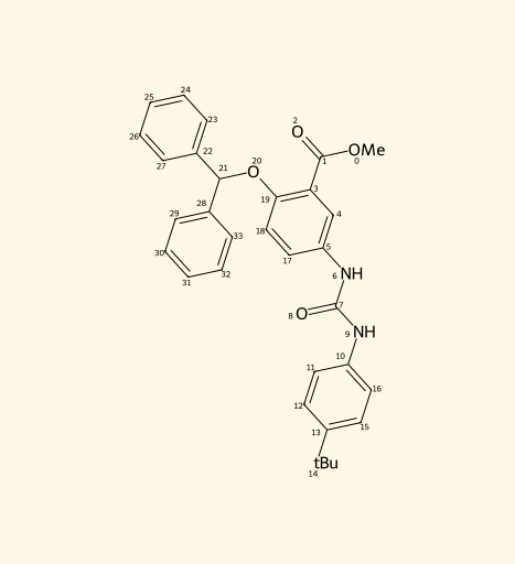 COC(=O)c1cc(NC(=O)Nc2ccc(C(C)(C)C)cc2)ccc1OC(c1ccccc1)c1ccccc1